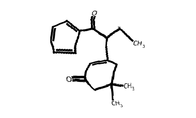 C[C]C(C(=O)c1ccccc1)C1=CC(=O)CC(C)(C)C1